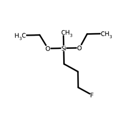 CCO[Si](C)(CCCF)OCC